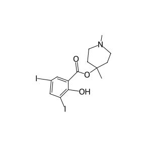 CN1CCC(C)(OC(=O)c2cc(I)cc(I)c2O)CC1